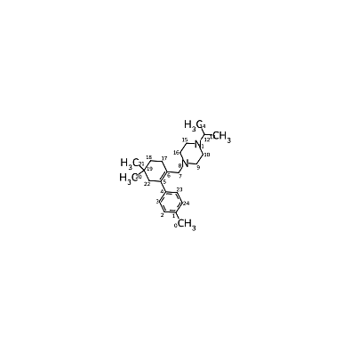 Cc1ccc(C2=C(CN3CCN(C(C)C)CC3)CCC(C)(C)C2)cc1